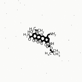 CN(C)[C@@H]1C(O)=C(C(N)=O)C(=O)[C@@]2(O)C(O)=C3C(=O)c4c(O)c(NC(=O)OCC(C)(C)C)cc(CN)c4C[C@H]3C[C@@H]12